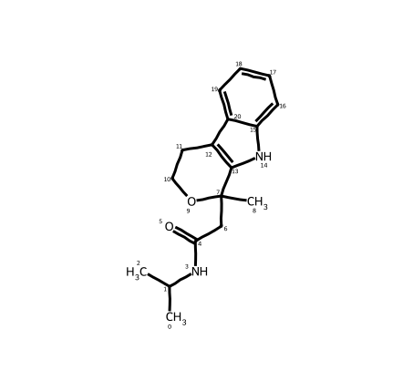 CC(C)NC(=O)CC1(C)OCCc2c1[nH]c1ccccc21